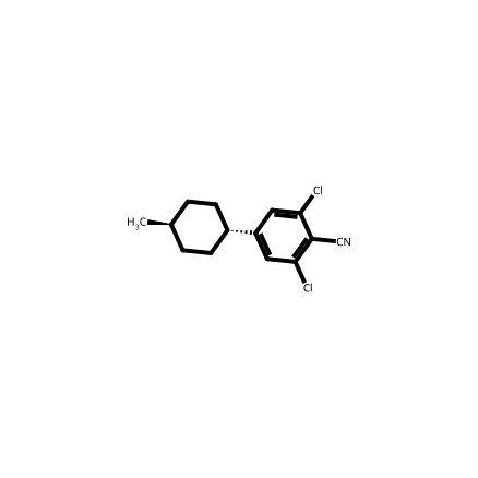 C[C@H]1CC[C@H](c2cc(Cl)c(C#N)c(Cl)c2)CC1